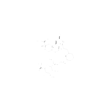 CON(CCN[C@H]1CC[C@@H](C)C(CC[C@]2(C)[C@@H](C)C(=O)C=C3[C@@H]4C[C@@](C)(C(=O)O)CC[C@]4(C)CC[C@]32C)C1(C)C)[C@@H]1O[C@H](C(=O)O)[C@@H](O)[C@H](O)[C@H]1O